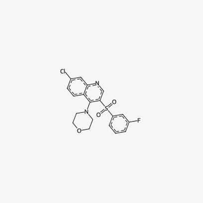 O=S(=O)(c1cccc(F)c1)c1cnc2cc(Cl)ccc2c1N1CCOCC1